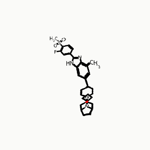 Cc1cc(C2CCN(C3CC4CCC(C3)N4C3CCC3)CC2)cc2[nH]c(-c3ccc(S(C)(=O)=O)c(F)c3)nc12